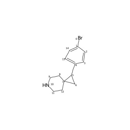 Brc1ccc(C2CC23CCNCC3)cc1